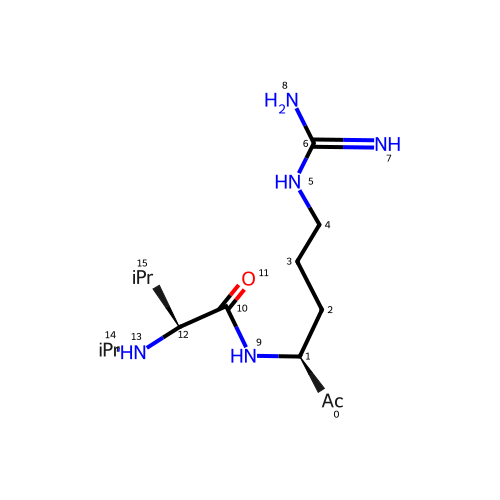 CC(=O)[C@H](CCCNC(=N)N)NC(=O)[C@@H](NC(C)C)C(C)C